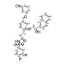 [C-]#[N+]c1cccc(OCc2ccc(CCC(=O)NS(=O)(=O)c3ccc(F)c(F)c3)c(OCC(O)c3ccc4ccccc4c3)c2)c1